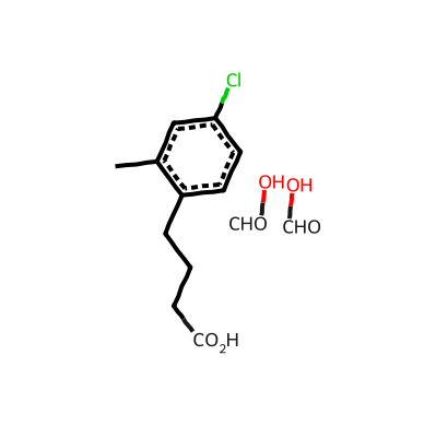 Cc1cc(Cl)ccc1CCCC(=O)O.O=CO.O=CO